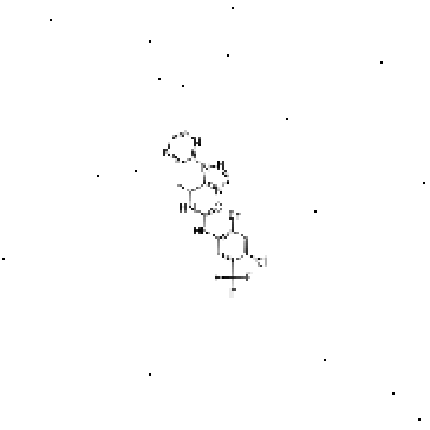 CC(NC(=O)Nc1cc(C(F)(F)F)c(Cl)cc1Br)c1ncnn1-c1cnccn1